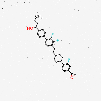 CCCC(O)c1ccc(-c2ccc(CCC3CC=C(c4ccc(C5CO5)cc4F)CC3)c(F)c2F)cc1